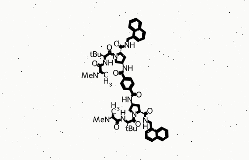 CN[C@@H](C)C(=O)N[C@H](C(=O)N1C[C@@H](NC(=O)c2ccc(C(=O)N[C@H]3C[C@@H](C(=O)NCc4cccc5ccccc45)N(C(=O)[C@@H](NC(=O)[C@H](C)NC)C(C)(C)C)C3)cc2)C[C@H]1C(=O)NCc1cccc2ccccc12)C(C)(C)C